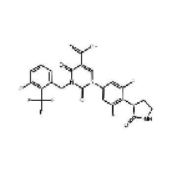 O=C(O)c1cn(-c2cc(F)c(N3CCNC3=O)c(F)c2)c(=O)n(Cc2cccc(F)c2C(F)(F)F)c1=O